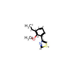 CCc1cccc(-c2cscn2)c1OC